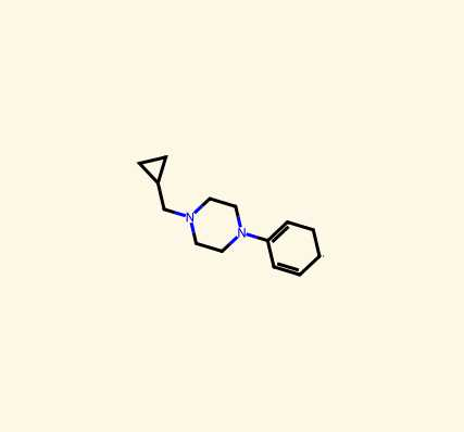 [CH]1C=CC(N2CCN(CC3CC3)CC2)=CC1